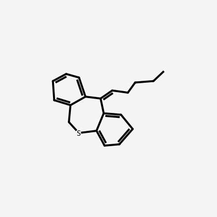 CCCC/C=C1/c2ccccc2CSc2ccccc21